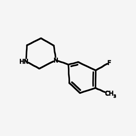 Cc1ccc(N2CCCNC2)cc1F